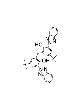 CC(C)(C)c1cc(Cc2cc(C(C)(C)C)cc(-n3nc4ccccc4n3)c2O)c(O)c(-n2nc3ccccc3n2)c1